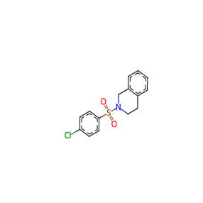 O=S(=O)(c1ccc(Cl)cc1)N1CCc2ccccc2C1